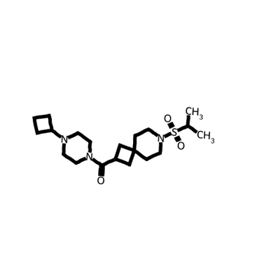 CC(C)S(=O)(=O)N1CCC2(CC1)CC(C(=O)N1CCN(C3CCC3)CC1)C2